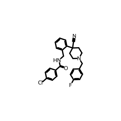 N#CC1(c2ccccc2CNC(=O)c2ccc(Cl)cc2)CCN(Cc2ccc(F)cc2)CC1